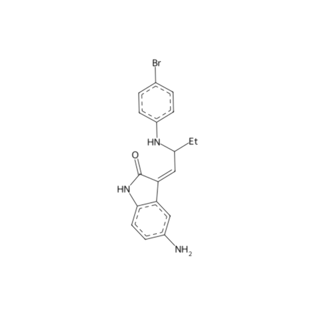 CCC(C=C1C(=O)Nc2ccc(N)cc21)Nc1ccc(Br)cc1